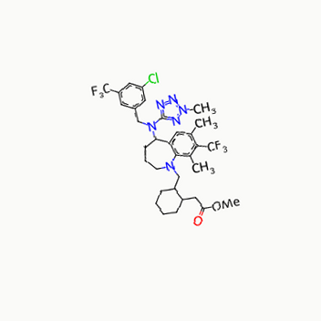 COC(=O)CC1CCCCC1CN1CCCC(N(Cc2cc(Cl)cc(C(F)(F)F)c2)c2nnn(C)n2)c2cc(C)c(C(F)(F)F)c(C)c21